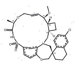 CO[C@@H]1/C=C/CO[C@H](C)C(=O)NS(=O)(=O)c2ccc3c(c2)N(C[C@@H]2CC[C@H]21)C[C@@]1(CCCc2cc(Cl)ccc21)CO3